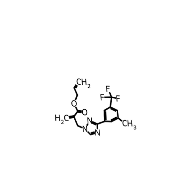 C=CCOC(=O)C(=C)Cn1cnc(-c2cc(C)cc(C(F)(F)F)c2)n1